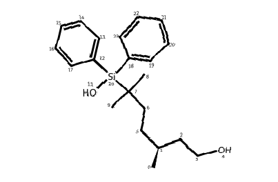 C[C@H](CCO)CCC(C)(C)[Si](O)(c1ccccc1)c1ccccc1